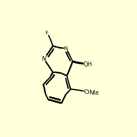 COc1cccc2nc(F)nc(O)c12